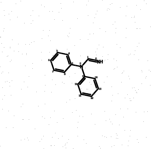 N=[C]N(c1ccccc1)c1ccccc1